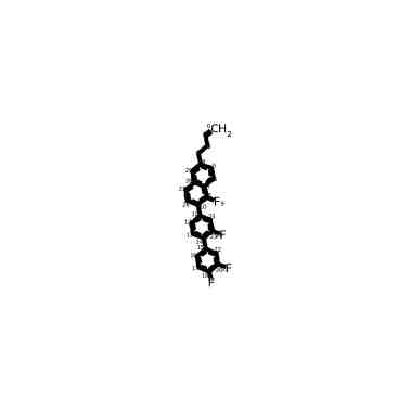 C=CCCc1ccc2c(F)c(-c3ccc(-c4ccc(F)c(F)c4)c(F)c3)ccc2c1